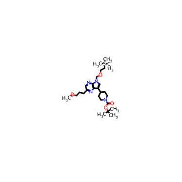 COCCCc1cnc2c(n1)c(C1CCN(C(=O)OC(C)(C)C)CC1)cn2COCC[Si](C)(C)C